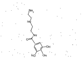 NCCNCCNC(=O)c1cc(O)c(O)c(O)c1